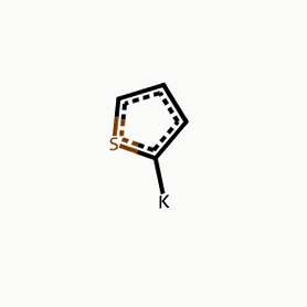 [K][c]1cccs1